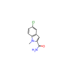 Cn1c(C(N)=O)cc2cc(Cl)ccc21